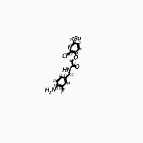 CC(C)(C)c1ccc(OCC(=O)NCc2ccc(N)c(F)c2)c(Cl)n1